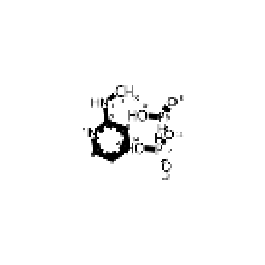 CNc1ccccn1.O=[PH](O)O[PH](=O)O